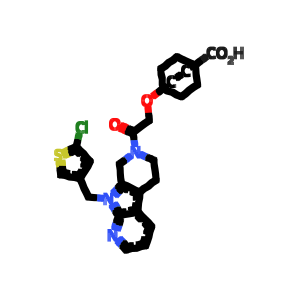 O=C(COC12CCC(C(=O)O)(CC1)CC2)N1CCc2c(n(Cc3csc(Cl)c3)c3ncccc23)C1